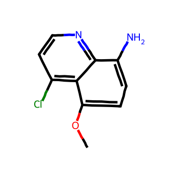 COc1ccc(N)c2nccc(Cl)c12